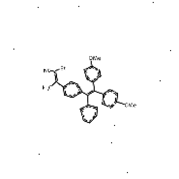 CC/C(C#N)=C(/C)c1ccc(C(=C(c2ccc(OC)cc2)c2ccc(OC)cc2)c2ccccc2)cc1